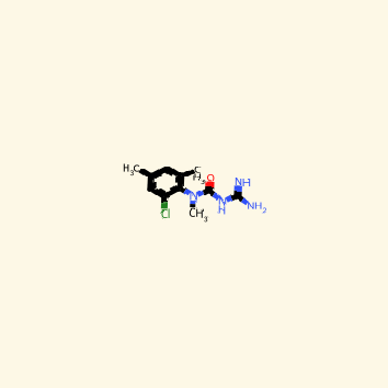 Cc1cc(C)c(N(C)C(=O)NC(=N)N)c(Cl)c1